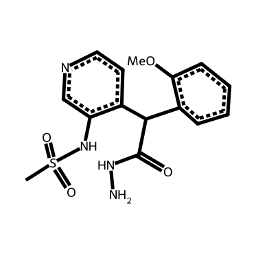 COc1ccccc1C(C(=O)NN)c1ccncc1NS(C)(=O)=O